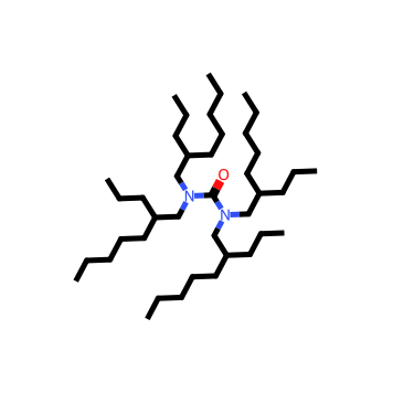 CCCCCC(CCC)CN(CC(CCC)CCCCC)C(=O)N(CC(CCC)CCCCC)CC(CCC)CCCCC